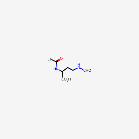 [CH2]CC(=O)NC(CCNC=O)C(=O)O